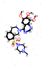 COc1cc2c(N3CCc4cccc(S(=O)(=O)N5CCN(C)CC5)c4C3)ncnc2c(OC)c1OC